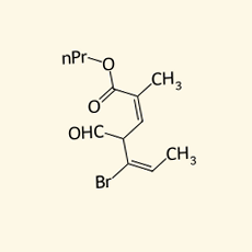 C/C=C(/Br)C(C=O)C=C(C)C(=O)OCCC